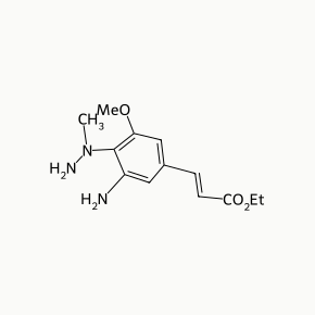 CCOC(=O)/C=C/c1cc(N)c(N(C)N)c(OC)c1